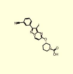 N#Cc1cccc(-c2nn3ccc(O[C@H]4CCCN(C(=O)O)C4)nc3c2I)c1